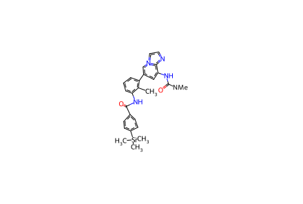 CNC(=O)Nc1cc(-c2cccc(NC(=O)c3ccc([Si](C)(C)C)cc3)c2C)cn2ccnc12